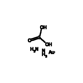 N.N.O=S(O)O.[Au]